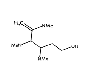 C=C(NC)C(NC)C(CCO)NC